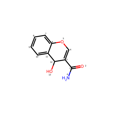 NC(=O)C1=COc2ccccc2C1O